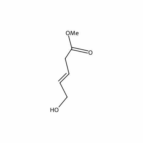 COC(=O)C/C=C/CO